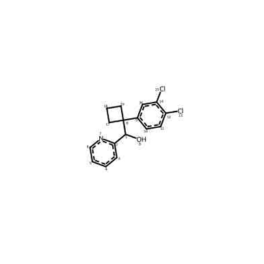 OC(c1ccccn1)C1(c2ccc(Cl)c(Cl)c2)CCC1